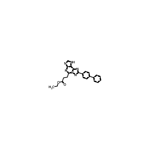 CCOC(=O)CCc1nc2nc[nH]c2c2nc(-c3ccc(-c4ccccc4)cc3)nn12